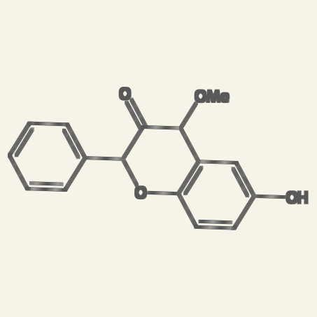 COC1C(=O)C(c2ccccc2)Oc2ccc(O)cc21